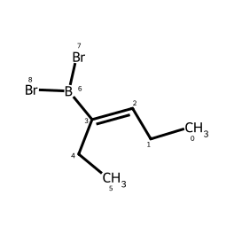 CCC=C(CC)B(Br)Br